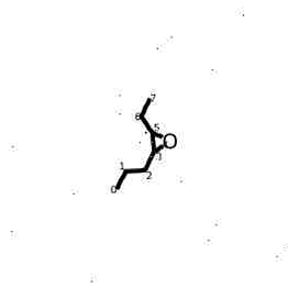 CCCC1O[C]1CC